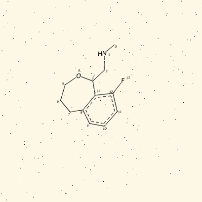 CNCC1OCCCc2cccc(F)c21